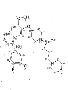 COc1cc2ncnc(Nc3ccc(F)c(Cl)c3)c2cc1OC1CCN(C(=O)CCCN2CCOCC2)CC1